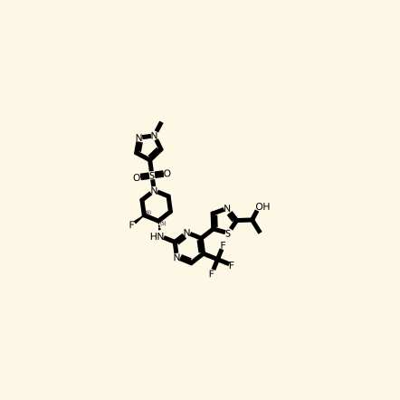 CC(O)c1ncc(-c2nc(N[C@H]3CCN(S(=O)(=O)c4cnn(C)c4)C[C@@H]3F)ncc2C(F)(F)F)s1